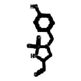 O=CC1CN(Cc2ccc(O)cc2)S(=O)(=O)N1